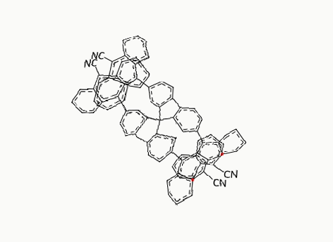 N#Cc1c2ccccc2c(-c2ccc3c(c2)C2(c4cc(-c5c6ccccc6c(C#N)c6ccccc56)ccc4-3)c3cc(-c4c5ccccc5c(C#N)c5ccccc45)ccc3-c3ccc(-c4c5ccccc5c(C#N)c5ccccc45)cc32)c2ccccc12